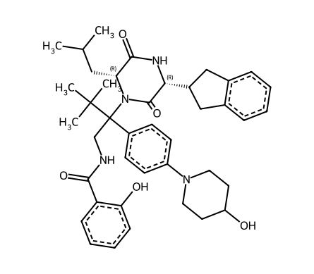 CC(C)C[C@@H]1C(=O)N[C@H](C2Cc3ccccc3C2)C(=O)N1C(CNC(=O)c1ccccc1O)(c1ccc(N2CCC(O)CC2)cc1)C(C)(C)C